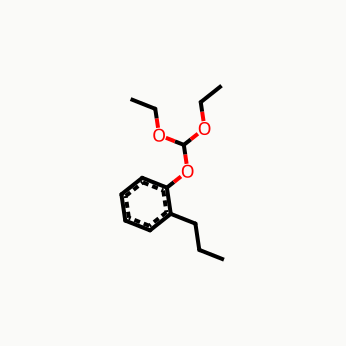 CCCc1ccccc1OC(OCC)OCC